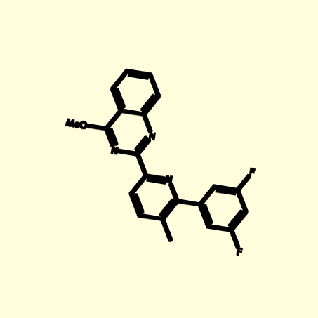 COc1nc(-c2ccc(C)c(-c3cc(F)cc(F)c3)n2)nc2ccccc12